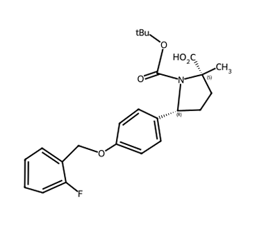 CC(C)(C)OC(=O)N1[C@@H](c2ccc(OCc3ccccc3F)cc2)CC[C@@]1(C)C(=O)O